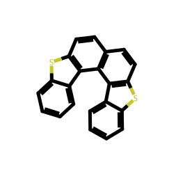 c1ccc2c(c1)sc1ccc3ccc4sc5ccccc5c4c3c12